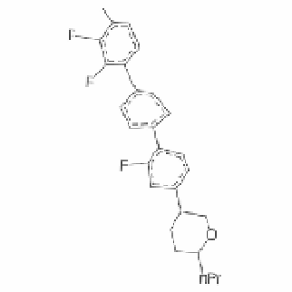 CCCC1CCC(c2ccc(-c3ccc(-c4ccc(C)c(F)c4F)cc3)c(F)c2)CO1